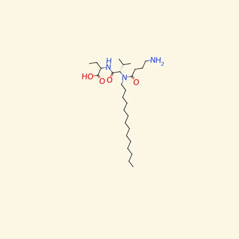 CCCCCCCCCCCCCCN(C(=O)CCCN)[C@H](C(=O)NC(CC)C(=O)O)C(C)C